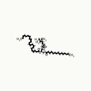 CC/C=C\C/C=C\C/C=C\C/C=C\C/C=C\C/C=C\CCC(=O)O[C@H](COC(=O)CCCCCCCCCCCCCC)COP(=O)([O-])OCC[N+](C)(C)C